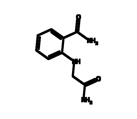 NC(=O)CNc1ccccc1C(N)=O